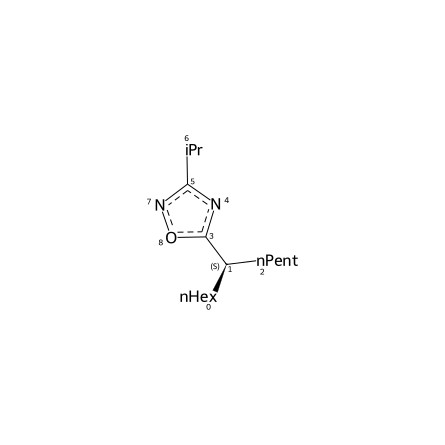 CCCCCC[C@H](CCCCC)c1nc(C(C)C)no1